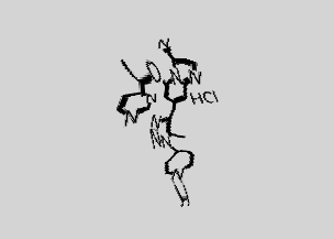 Cc1c(-c2cc(O[C@H](C)c3ccncn3)n3c(C#N)cnc3c2)nnn1C1CCNCC1.Cl